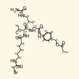 CCC(=O)OCc1ccc(NC(=O)[C@@H](CCCNC(N)=O)NC(=O)[C@H](NC(=O)CCCCCNC(=O)CBr)C(C)C)cc1